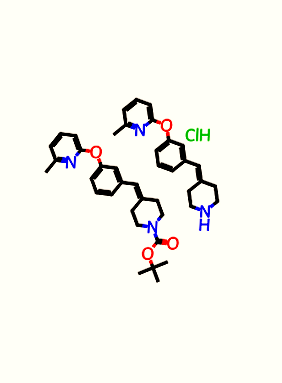 Cc1cccc(Oc2cccc(C=C3CCN(C(=O)OC(C)(C)C)CC3)c2)n1.Cc1cccc(Oc2cccc(C=C3CCNCC3)c2)n1.Cl